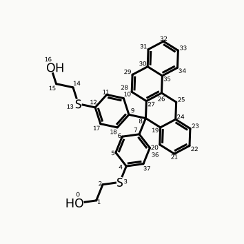 OCCSc1ccc(C2(c3ccc(SCCO)cc3)c3ccccc3Cc3c2ccc2ccccc32)cc1